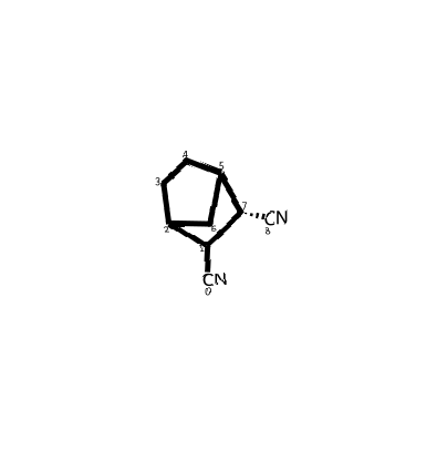 N#CC1C2CCC(C2)[C@@H]1C#N